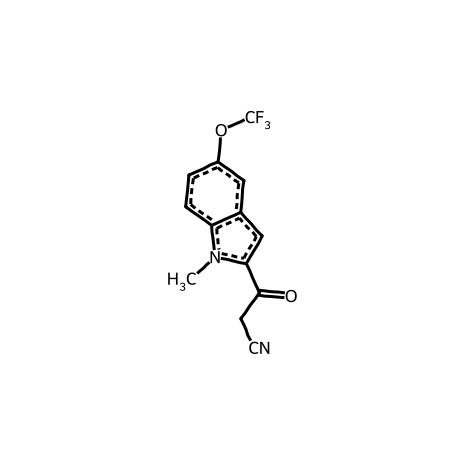 Cn1c(C(=O)CC#N)cc2cc(OC(F)(F)F)ccc21